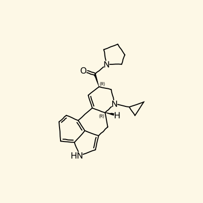 O=C([C@@H]1C=C2c3cccc4[nH]cc(c34)C[C@H]2N(C2CC2)C1)N1CCCC1